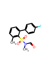 Cc1cccc(-c2ccc(F)cc2)c1S(=O)(=O)N(C)C=O